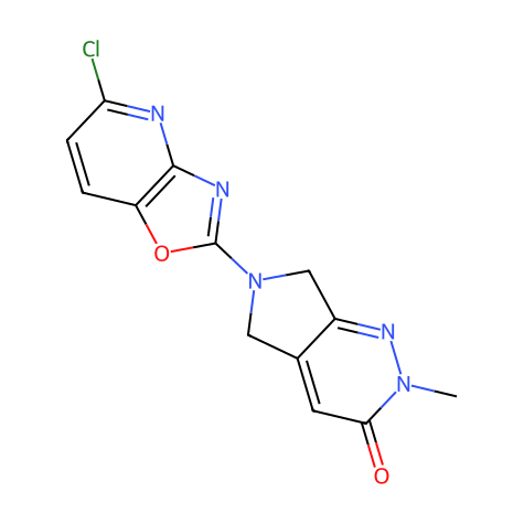 Cn1nc2c(cc1=O)CN(c1nc3nc(Cl)ccc3o1)C2